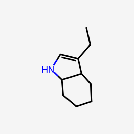 CCC1=CNC2CCCCC12